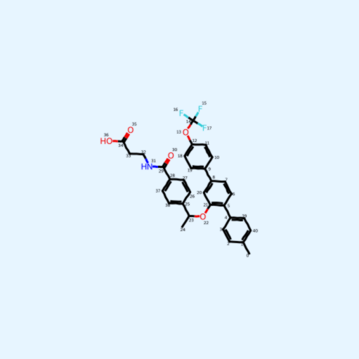 Cc1ccc(-c2ccc(-c3ccc(OC(F)(F)F)cc3)cc2OC(C)c2ccc(C(=O)NCCC(=O)O)cc2)cc1